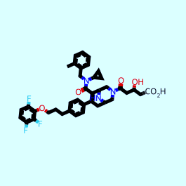 Cc1ccccc1CN(C(=O)C1=C(c2ccc(CCCOc3c(F)ccc(F)c3F)cc2)CC2CN(C(=O)CC(O)CC(=O)O)CC1N2)C1CC1